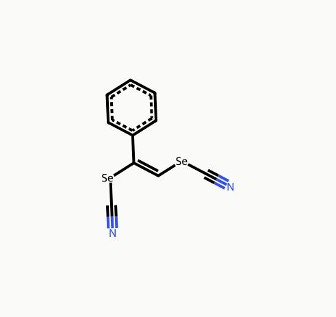 N#C[Se]/C=C(/[Se]C#N)c1ccccc1